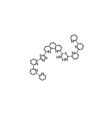 N=C(SC(=N)c1ccc2ccc3ccc(-c4nnc(-c5cccc(-c6cccc(-c7ccccn7)n6)n5)s4)nc3c2n1)c1cccc(-c2cccc(-c3ccccn3)n2)n1